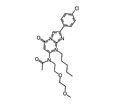 CCCCCn1c(N(CCOCCOC)C(C)=O)cc(=O)n2cc(-c3ccc(Cl)cc3)nc12